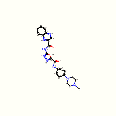 CC(=O)N1CCN(c2ccc(NC(=O)c3nnc(NC(=O)c4cnc5ccccc5n4)o3)cc2)CC1